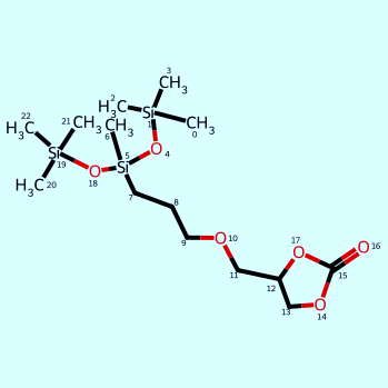 C[Si](C)(C)O[Si](C)(CCCOCC1COC(=O)O1)O[Si](C)(C)C